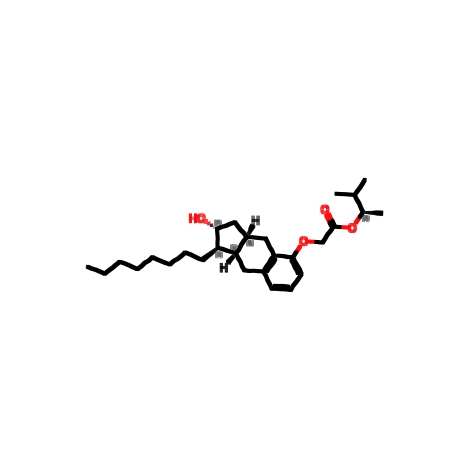 CCCCCCCC[C@@H]1[C@H]2Cc3cccc(OCC(=O)O[C@H](C)C(C)C)c3C[C@H]2C[C@H]1O